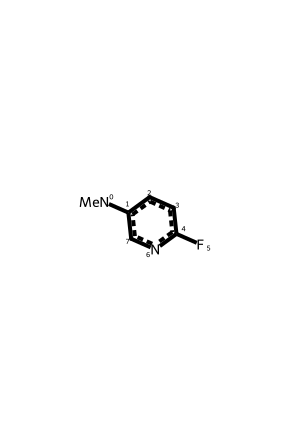 [CH2]Nc1ccc(F)nc1